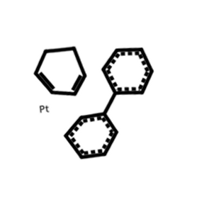 C1=CCCC=C1.[Pt].c1ccc(-c2ccccc2)cc1